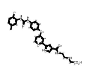 Cc1ccc(F)c(NC(=O)Nc2ccc(Oc3ccnc(-c4cc(C(=O)NCCNCC(=O)O)c[nH]4)c3)cc2)c1